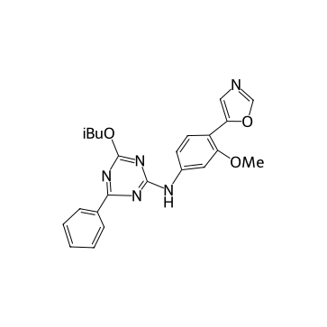 COc1cc(Nc2nc(OCC(C)C)nc(-c3ccccc3)n2)ccc1-c1cnco1